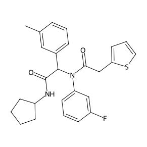 Cc1cccc(C(C(=O)NC2CCCC2)N(C(=O)Cc2cccs2)c2cccc(F)c2)c1